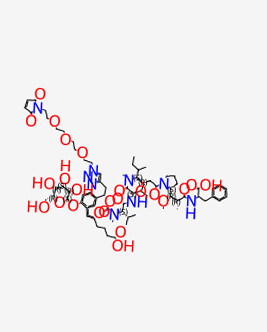 CCC(C)[C@@H]([C@@H](CC(=O)N1CCC[C@H]1[C@H](OC)[C@@H](C)C(=O)NC(Cc1ccccc1)C(=O)O)OC)N(C)C(=O)[C@@H](NC(=O)[C@H](C(C)C)N(C)C(=O)OC(Cc1cn(CCOCCOCCOCCN2C(=O)C=CC2=O)nn1)c1ccc(O[C@@H]2O[C@H](CO)[C@H](O)[C@H](O)[C@H]2O)c2cc(CCCC(=O)O)oc12)C(C)C